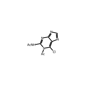 CC(=O)Nc1nc2ncnc-2c(Cl)n1C(C)=O